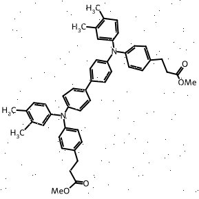 COC(=O)CCc1ccc(N(c2ccc(-c3ccc(N(c4ccc(CCC(=O)OC)cc4)c4ccc(C)c(C)c4)cc3)cc2)c2ccc(C)c(C)c2)cc1